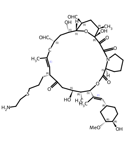 CO[C@@H]1C[C@H](/C=C(\C)[C@H]2OC(=O)[C@@H]3CCCCN3C(=O)C(=O)[C@]3(O)O[C@H]([C@@H](O)C[C@@H](C=O)C/C(C)=C/[C@@H](CCCSCCN)C(=O)C[C@H](O)[C@H]2C)[C@@H](C=O)C[C@H]3C)CC[C@H]1O